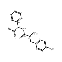 N[C@@H](Cc1ccc(O)cc1)C(=O)OC(c1ccccc1)[N+](=O)[O-]